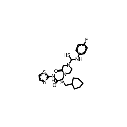 O=C(Nc1nccs1)[C@H](CC1CCCCC1)N1CCN(C(S)Nc2ccc(F)cc2)CC1=O